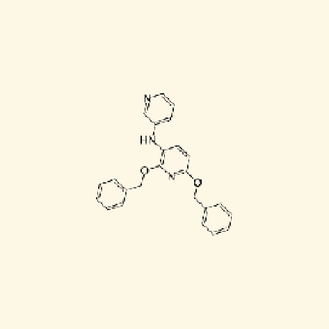 c1ccc(COc2ccc(Nc3cccnc3)c(OCc3ccccc3)n2)cc1